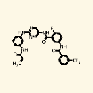 C=CC(=O)Nc1cccc(Nc2ncc(NC(=O)c3cc(NC(=O)c4cccc(C(F)(F)F)c4)ccc3F)cn2)c1